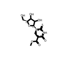 COC(=O)c1cn([C@H]2O[C@@H](CO)C(O)C2O)c(=S)[nH]c1=O